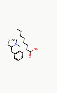 CCCCCCCC(=O)O.CCCCCCCCCCCC(Cc1ccccc1)N(C)C